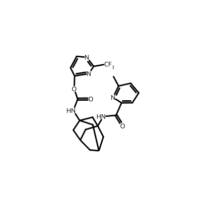 Cc1cccc(C(=O)NC23CC4CC(CC(NC(=O)Oc5ccnc(C(F)(F)F)n5)(C4)C2)C3)n1